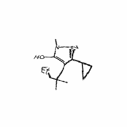 CCC(C)(C)c1c(C2CC2)nn(C)c1O